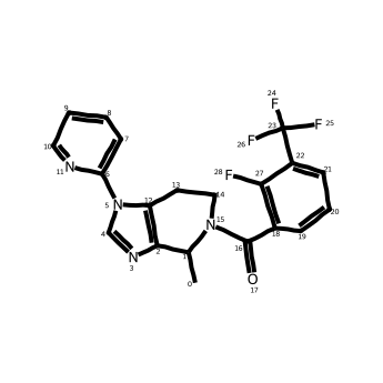 CC1c2ncn(-c3ccccn3)c2CCN1C(=O)c1cccc(C(F)(F)F)c1F